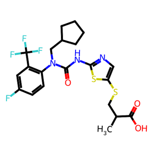 CC(CSc1cnc(NC(=O)N(CC2CCCC2)c2ccc(F)cc2C(F)(F)F)s1)C(=O)O